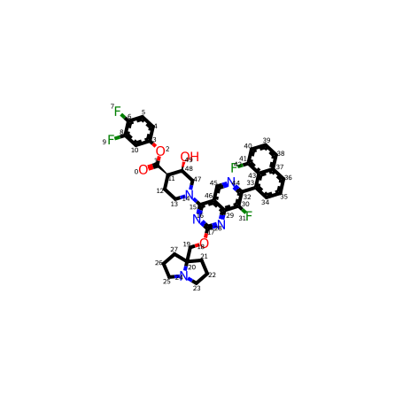 O=C(Oc1ccc(F)c(F)c1)[C@@H]1CCN(c2nc(OCC34CCCN3CCC4)nc3c(F)c(-c4cccc5cccc(F)c45)ncc23)C[C@@H]1O